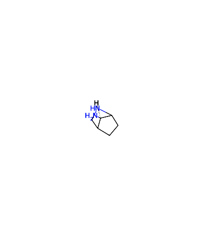 N[C@@H]1C2CCC1NC2